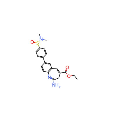 CCOC(=O)C1=Cc2cc(-c3ccc([S+]([O-])N(C)C)cc3)ccc2N=C(N)C1